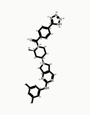 Cc1cc(C)cc(Nc2ncc3c(n2)CN([C@@H]2CCN(C(=O)c4ccc(-c5nnn[nH]5)cc4)[C@H](C)C2)C3)c1